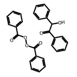 O=C(OOC(=O)c1ccccc1)c1ccccc1.O=C(c1ccccc1)C(O)c1ccccc1